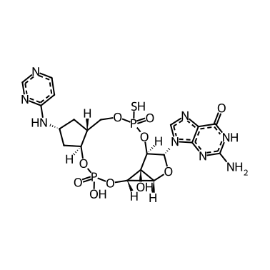 Nc1nc2c(ncn2[C@@H]2O[C@@H]3[C@@H]4OP(=O)(O)O[C@H]5C[C@H](Nc6ccncn6)C[C@@H]5COP(=O)(S)O[C@@H]2[C@]34O)c(=O)[nH]1